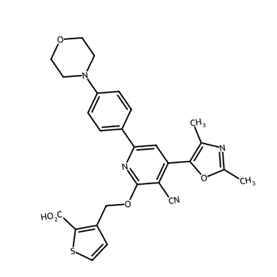 Cc1nc(C)c(-c2cc(-c3ccc(N4CCOCC4)cc3)nc(OCc3ccsc3C(=O)O)c2C#N)o1